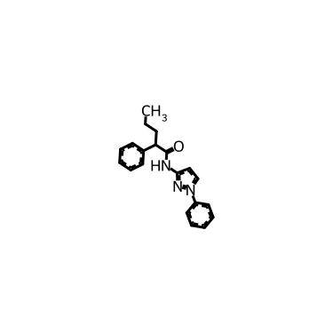 CCCC(C(=O)Nc1ccn(-c2ccccc2)n1)c1ccccc1